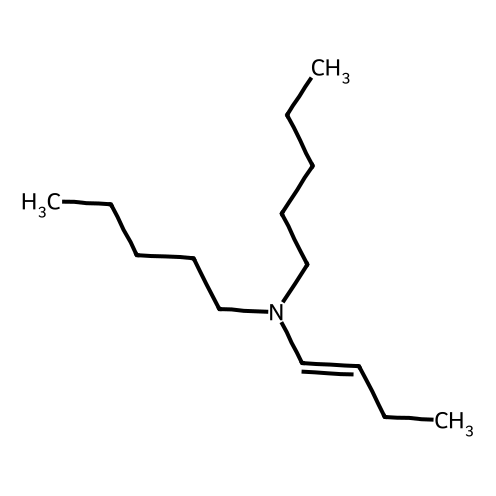 CCC=CN(CCCCC)CCCCC